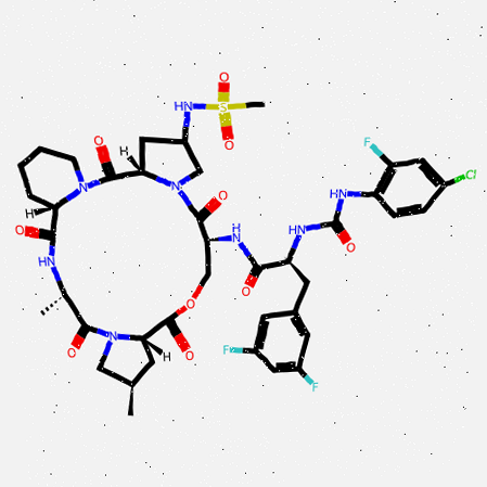 C[C@@H]1C[C@H]2C(=O)OC[C@H](NC(=O)[C@H](Cc3cc(F)cc(F)c3)NC(=O)Nc3ccc(Cl)cc3F)C(=O)N3CC(NS(C)(=O)=O)C[C@H]3C(=O)N3CCCC[C@H]3C(=O)N[C@@H](C)C(=O)N2C1